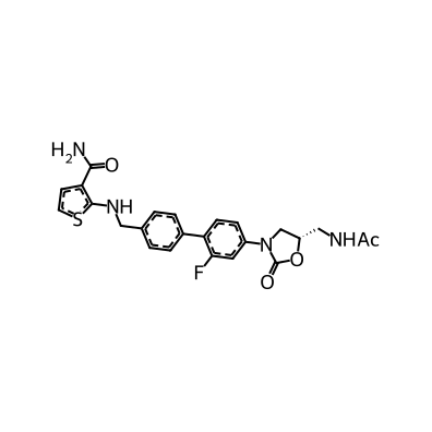 CC(=O)NC[C@H]1CN(c2ccc(-c3ccc(CNc4sccc4C(N)=O)cc3)c(F)c2)C(=O)O1